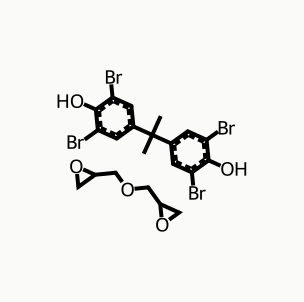 C(OCC1CO1)C1CO1.CC(C)(c1cc(Br)c(O)c(Br)c1)c1cc(Br)c(O)c(Br)c1